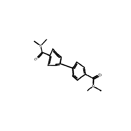 CN(C)C(=O)c1ccc(-c2ccc(C(=O)N(C)C)cc2)cc1